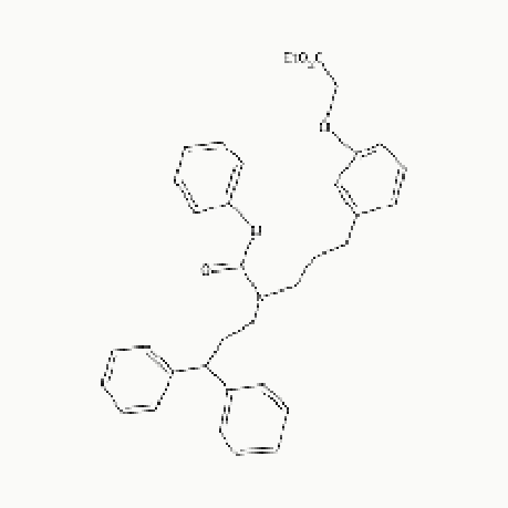 CCOC(=O)COc1cccc(CCCN(CCC(c2ccccc2)c2ccccc2)C(=O)Oc2ccccc2)c1